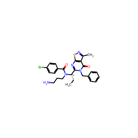 CC[C@@H](c1nc2snc(C)c2c(=O)n1Cc1ccccc1)N(CCCN)C(=O)c1ccc(Br)cc1